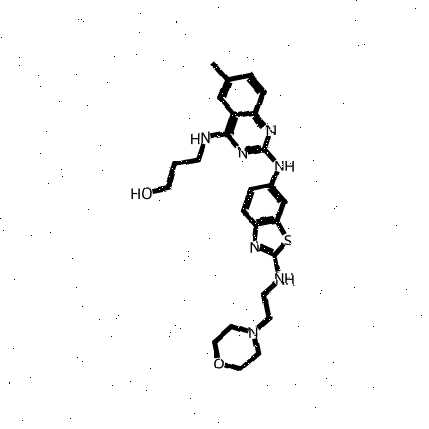 Cc1ccc2nc(Nc3ccc4nc(NCCN5CCOCC5)sc4c3)nc(NCCCO)c2c1